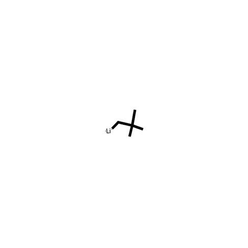 [Li-][CH2]C(C)(C)C